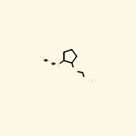 CCOC1CCCC1N=[N+]=[N-]